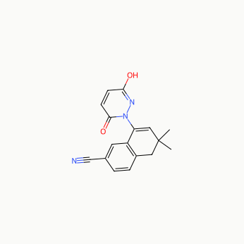 CC1(C)C=C(n2nc(O)ccc2=O)c2cc(C#N)ccc2C1